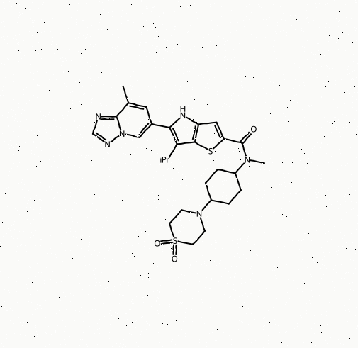 Cc1cc(-c2[nH]c3cc(C(=O)N(C)C4CCC(N5CCS(=O)(=O)CC5)CC4)sc3c2C(C)C)cn2ncnc12